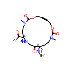 CC(C)N[C@]1(C)CCN(C)C(=O)OCC=CCOC(=O)N(C)CC[C@@](C)(C(=O)C(C)C)NCC1=O